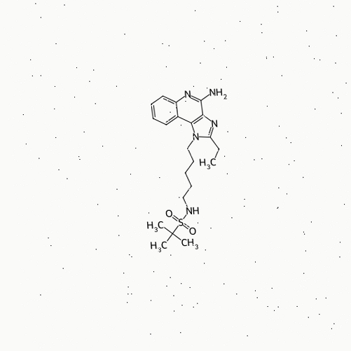 CCc1nc2c(N)nc3ccccc3c2n1CCCCCNS(=O)(=O)C(C)(C)C